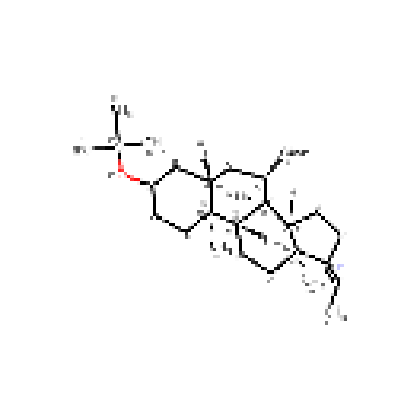 C/C=C1/CC[C@H]2[C@@H]3[C@H](OC)C[C@H]4CC(O[Si](C)(C)C(C)(C)C)CC[C@]4(C)[C@H]3CC[C@]12C